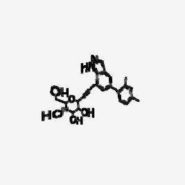 Cc1ccc(-c2cc(C#CC3OC(CO)[C@@H](O)C(O)C3O)c3[nH]ncc3c2)c(C)c1